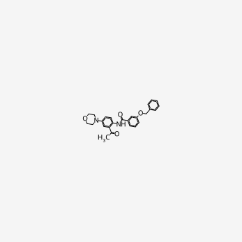 CC(=O)c1cc(N2CCOCC2)ccc1NC(=O)c1cccc(OCc2ccccc2)c1